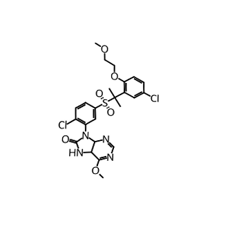 COCCOc1ccc(Cl)cc1C(C)(C)S(=O)(=O)c1ccc(Cl)c(N2C(=O)NC3C(OC)=NC=NC32)c1